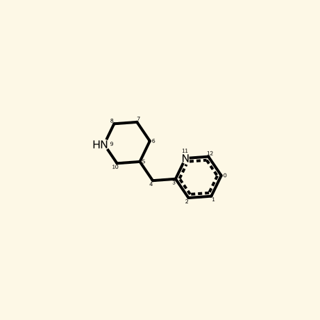 c1ccc(CC2CCCNC2)nc1